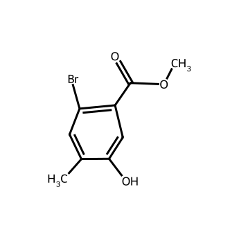 COC(=O)c1cc(O)c(C)cc1Br